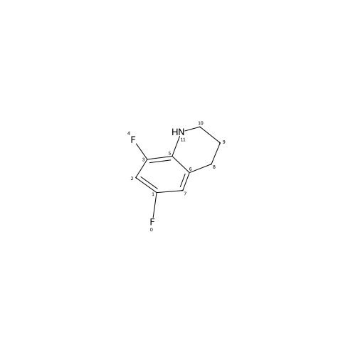 Fc1cc(F)c2c(c1)CCCN2